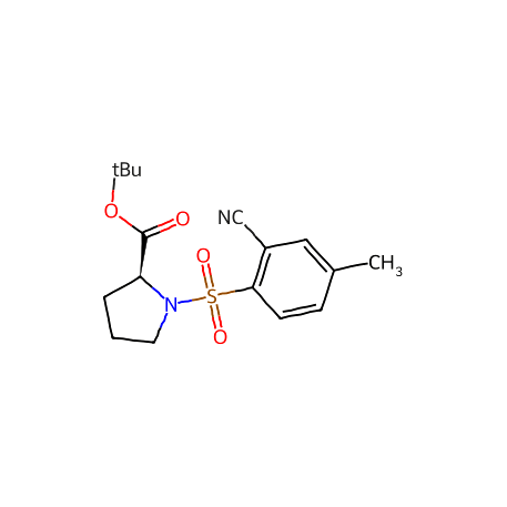 Cc1ccc(S(=O)(=O)N2CCC[C@H]2C(=O)OC(C)(C)C)c(C#N)c1